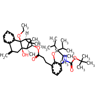 C=C1C[C@]2(O)[C@](OCC)(c3ccccc31)[C@H]1C[C@@H](OC(=O)CCc3cccc(NC(=O)OC(C)(C)C)c3O[Si](C(C)C)(C(C)C)C(C)C)[C@]2(C)C1(C)C